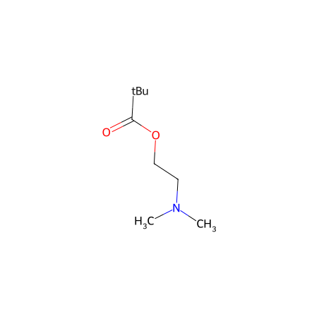 CN(C)CCOC(=O)C(C)(C)C